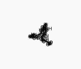 COc1cc2c(cc1OCCCCCOc1cc3c(cc1OC)C(=O)N1Cc4ccccc4CC1C(O)N3C(=O)OCc1ccc(NC(=O)[C@H](C)NC(=O)[C@@H](NC(=O)CCCCCN3C(=O)C=CC3=O)C(C)C)cc1)N=C[C@@H]1Cc3ccccc3CN1C2=O